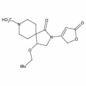 CC(C)(C)COC1CN(C2=CC(=O)OC2)C(=O)C12CCN(C(=O)O)CC2